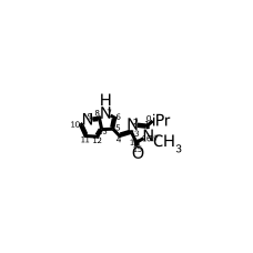 CC(C)C1=N/C(=C\c2c[nH]c3ncccc23)C(=O)N1C